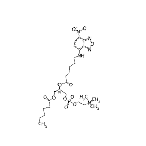 CCCCCC(=O)OC[C@H](COP(=O)([O-])OCC[N+](C)(C)C)OC(=O)CCCCCNc1ccc([N+](=O)[O-])c2nonc12